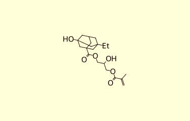 C=C(C)C(=O)OCC(O)COC(=O)C12CC3CC(O)(CC(CC)(C3)C1)C2